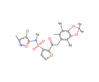 [2H]c1c(C)c(CC(=O)c2sccc2S(=O)(=O)N([2H])c2onc(C)c2Cl)c([2H])c2c1OC([2H])([2H])O2